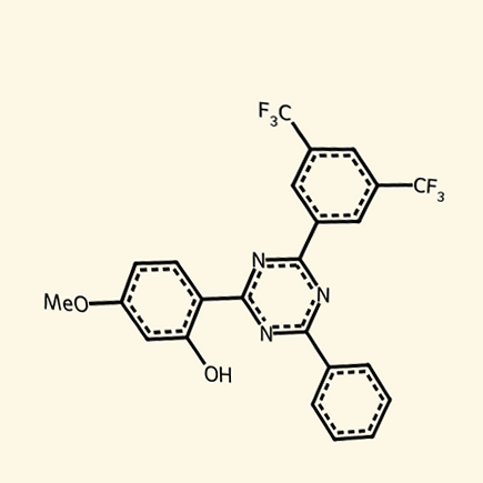 COc1ccc(-c2nc(-c3ccccc3)nc(-c3cc(C(F)(F)F)cc(C(F)(F)F)c3)n2)c(O)c1